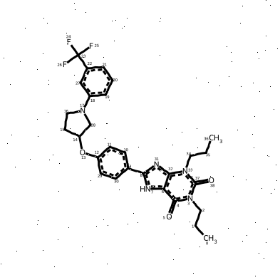 CCCn1c(=O)c2[nH]c(-c3ccc(OC4CCN(c5cccc(C(F)(F)F)c5)C4)cc3)nc2n(CCC)c1=O